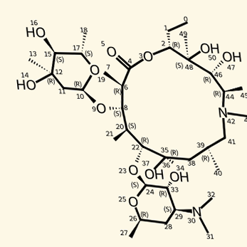 CC[C@H]1OC(=O)[C@H](C)[C@@H](O[C@H]2C[C@@](C)(O)[C@@H](O)[C@H](C)O2)[C@H](C)[C@@H](O[C@@H]2O[C@H](C)C[C@H](N(C)C)[C@H]2O)[C@](C)(O)C[C@@H](C)CN(C)[C@H](C)[C@@H](O)[C@]1(C)O